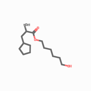 CCCCCCCCC(CC1CCCC1)C(=O)OCCCCCCO